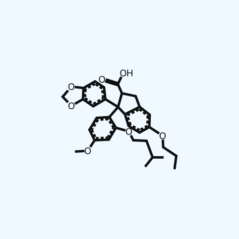 CCCOc1ccc2c(c1)CC(C(=O)O)C2(c1ccc2c(c1)OCO2)c1ccc(OC)cc1OCCC(C)C